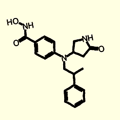 CC(CN(c1ccc(C(=O)NO)cc1)C1CNC(=O)C1)c1ccccc1